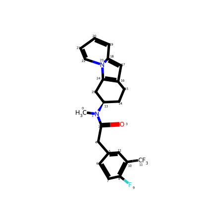 CN(C(=O)Cc1ccc(F)c(C(F)(F)F)c1)[C@@H]1CCc2[c]c3ccccn3c2C1